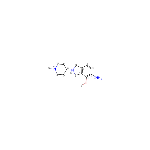 COc1c(N)ccc2c1CN(C1CCN(C)CC1)C2